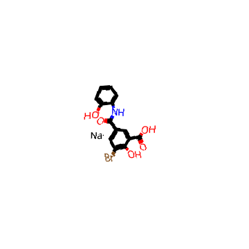 O=C(Nc1ccccc1O)c1cc(Br)c(O)c(C(=O)O)c1.[Na]